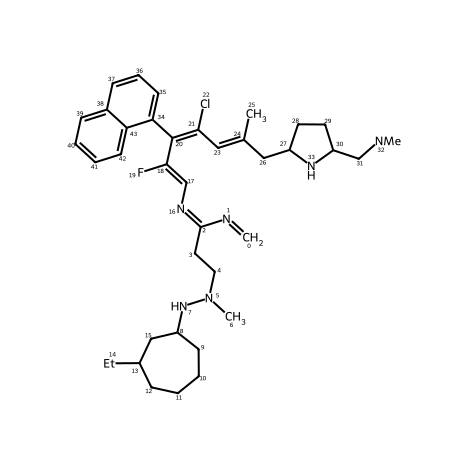 C=N\C(CCN(C)NC1CCCCC(CC)C1)=N/C=C(F)/C(=C(Cl)\C=C(/C)CC1CCC(CNC)N1)c1cccc2ccccc12